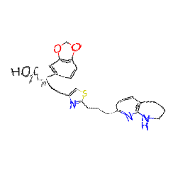 O=C(O)C[C@@H](Cc1csc(CCCc2ccc3c(n2)NCCC3)n1)c1ccc2c(c1)OCO2